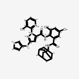 O=C(NC12CC3CC(CC(C3)C1)C2)c1cc(Cl)cc(Cl)c1NC(=O)c1cc(Oc2ccsc2)nn1-c1ncccc1Cl